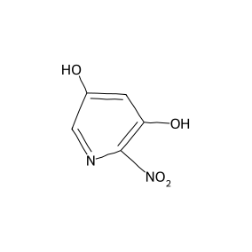 O=[N+]([O-])c1ncc(O)cc1O